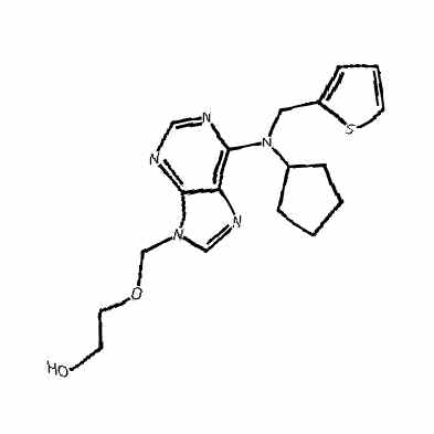 OCCOCn1cnc2c(N(Cc3cccs3)C3CCCC3)ncnc21